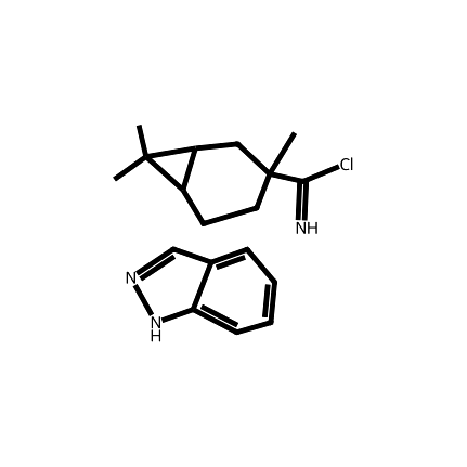 CC1(C(=N)Cl)CCC2C(C1)C2(C)C.c1ccc2[nH]ncc2c1